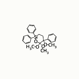 COC1(OC)O[Si](c2ccccc2)(c2ccccc2)CCC1(OC)c1ccccc1